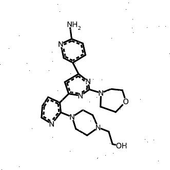 Nc1ccc(-c2cc(-c3cccnc3N3CCN(CCO)CC3)nc(N3CCOCC3)n2)cn1